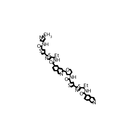 CCC(NC(=O)c1ccc2cnccc2c1)c1cnc(-c2csc(C(=O)NC3CCOC(c4cc5cc(C(=O)N[C@H](CC)c6cnc(-c7csc(C(=O)Nc8cnn(C)c8)c7)s6)ccc5cn4)C3)c2)s1